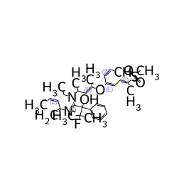 C=C(/C=C\C)/N=C(\N(CC)C(C)/C=C(\C)OC(/C=C\C)=C/C=C(\C)S(C)(=O)=O)C(O)(c1ccccc1)C(C)(C)F